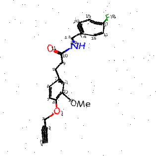 C#CCOc1ccc(CCC(=O)NCc2ccc(F)cc2)cc1OC